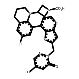 O=C(O)N1CC(N2CCCc3cc(Cl)cc(-c4ccnc5cc(Cn6ncc(Cl)cc6=O)sc45)c32)C1